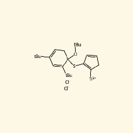 CC(C)(C)OC1(SC2=[C]([Ti+2])CC=C2)CC=C(C(C)(C)C)C=C1C(C)(C)C.[Cl-].[Cl-]